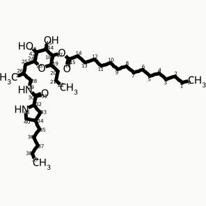 CCCCCCCCCCCCCCCC(=O)OC1C(CCC)OC(CC(C)CNC(=O)C2CC(CCCCC)CN2)C(O)C1O